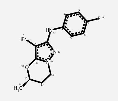 CC(C)c1c(Nc2ccc(F)cc2)nn2c1O[C@H](C)CC2